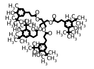 Cc1cc(CCC(=O)OCC(COC(=O)CCc2cc(C(C)(C)C)c(O)c(C(C)(C)C)c2)(COC(=O)CCc2cc(C(C)(C)C)c(O)c(C(C)(C)C)c2)COC(=O)CCc2cc(C(C)(C)C)c(O)c(C(C)(C)C)c2)cc(C(C)(C)C)c1O